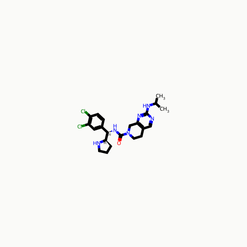 CC(C)Nc1ncc2c(n1)CN(C(=O)N[C@@H](c1ccc(Cl)c(Cl)c1)[C@H]1CCCN1)CC2